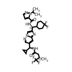 CC(C)n1nccc1C(=O)N[C@H](c1cn2ncc(C(NC(=O)C[C@H](C)C(F)(F)F)C3CC3)cc2n1)C1CCC(F)(F)CC1